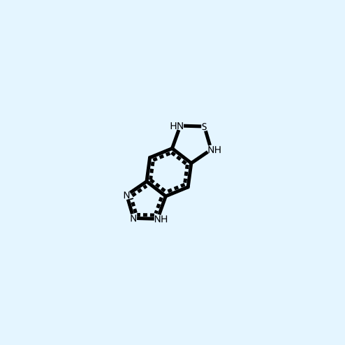 c1c2c(cc3[nH]nnc13)NSN2